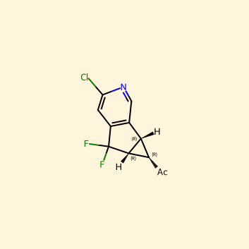 CC(=O)[C@@H]1[C@H]2c3cnc(Cl)cc3C(F)(F)[C@@H]12